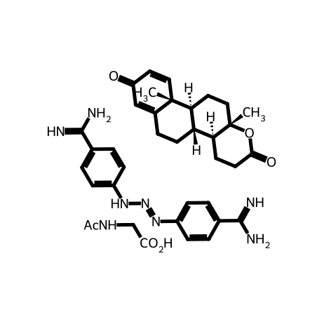 CC(=O)NCC(=O)O.C[C@]12C=CC(=O)C=C1CC[C@@H]1[C@@H]2CC[C@]2(C)OC(=O)CC[C@@H]12.N=C(N)c1ccc(/N=N/Nc2ccc(C(=N)N)cc2)cc1